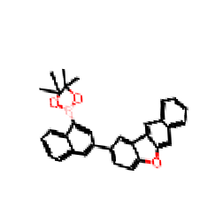 CC1(C)OB(c2cc(-c3ccc4oc5cc6ccccc6cc5c4c3)cc3ccccc23)OC1(C)C